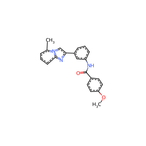 COc1ccc(C(=O)Nc2cccc(-c3cn4c(C)cccc4n3)c2)cc1